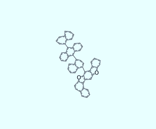 c1ccc2c(-c3c4ccccc4c(-c4ccc(-c5c6oc7ccc8ccccc8c7c6cc6oc7ccccc7c56)c5ccccc45)c4ccccc34)cccc2c1